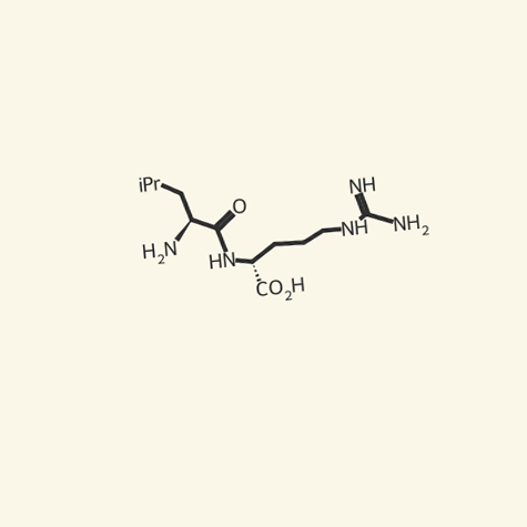 CC(C)C[C@H](N)C(=O)N[C@H](CCCNC(=N)N)C(=O)O